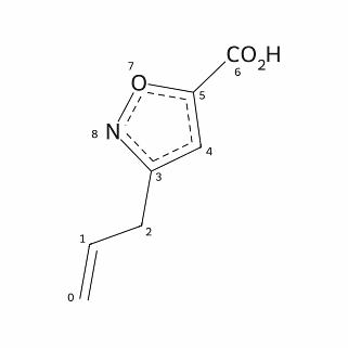 C=CCc1cc(C(=O)O)on1